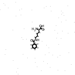 N[C@H](CCCCNC(=O)c1ccccc1)C(=O)O